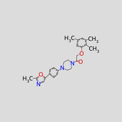 Cc1cc(C)c(C)c(OCC(=O)N2CCN(c3ccc(-c4cnc(C)o4)cc3)CC2)c1